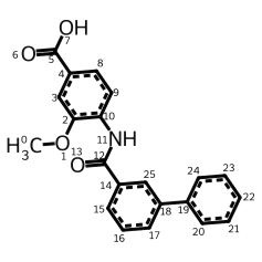 COc1cc(C(=O)O)ccc1NC(=O)c1cccc(-c2ccccc2)c1